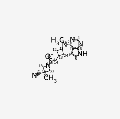 CN(c1ncnc2[nH]ccc12)C1CC(C[S+]([O-])N2CC(C)(C#N)C2)C1